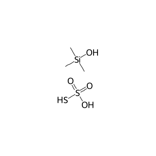 C[Si](C)(C)O.O=S(=O)(O)S